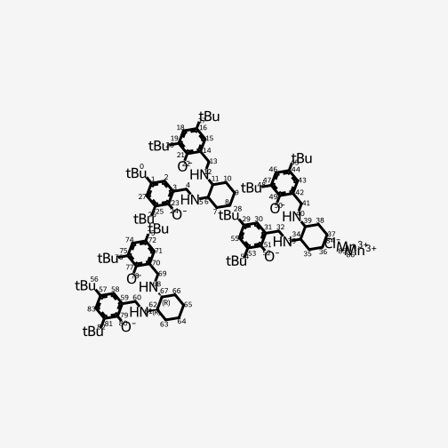 CC(C)(C)c1cc(CNC2CCCCC2NCc2cc(C(C)(C)C)cc(C(C)(C)C)c2[O-])c([O-])c(C(C)(C)C)c1.CC(C)(C)c1cc(CNC2CCCCC2NCc2cc(C(C)(C)C)cc(C(C)(C)C)c2[O-])c([O-])c(C(C)(C)C)c1.CC(C)(C)c1cc(CN[C@@H]2CCCC[C@H]2NCc2cc(C(C)(C)C)cc(C(C)(C)C)c2[O-])c([O-])c(C(C)(C)C)c1.[Cl-].[Mn+3].[Mn+3]